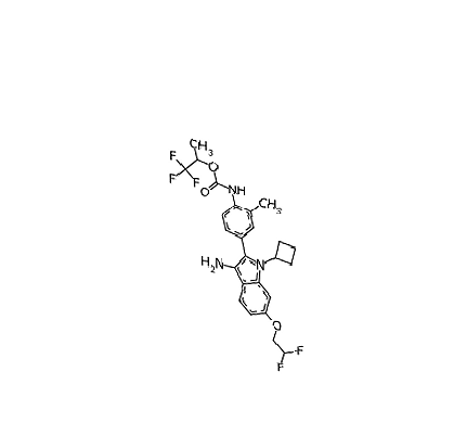 Cc1cc(-c2c(N)c3ccc(OCC(F)F)cc3n2C2CCC2)ccc1NC(=O)OC(C)C(F)(F)F